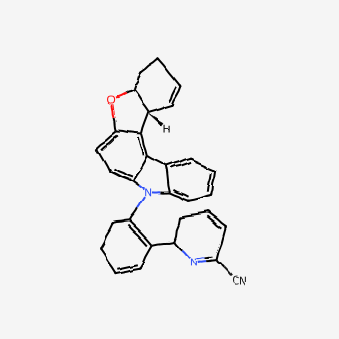 N#CC1=NC(C2=C(n3c4ccccc4c4c5c(ccc43)OC3CCC=C[C@H]53)CCC=C2)CC=C1